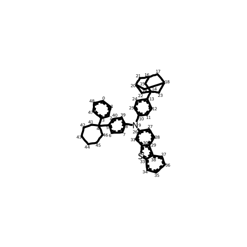 c1ccc(C2(c3ccc(N(c4ccc(C56CC7CC(CC(C7)C5)C6)cc4)c4ccc5c(c4)sc4ccccc45)cc3)CCCCCC2)cc1